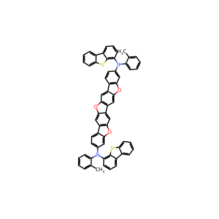 Cc1ccccc1N(c1ccc2c(c1)oc1cc3c(cc12)oc1cc2c(cc13)oc1cc(N(c3ccccc3C)c3cccc4c3sc3ccccc34)ccc12)c1cccc2c1sc1ccccc12